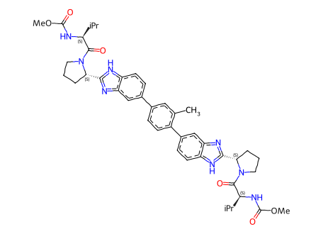 COC(=O)N[C@H](C(=O)N1CCC[C@H]1c1nc2cc(-c3ccc(-c4ccc5[nH]c([C@@H]6CCCN6C(=O)[C@@H](NC(=O)OC)C(C)C)nc5c4)c(C)c3)ccc2[nH]1)C(C)C